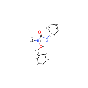 O=C(Nc1ccccc1)N(OCc1ccccc1)C(F)(F)F